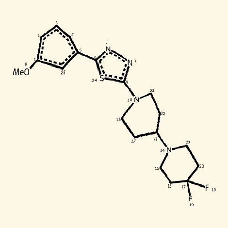 COc1cccc(-c2nnc(N3CCC(N4CCC(F)(F)CC4)CC3)s2)c1